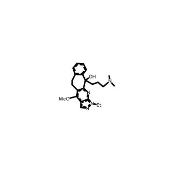 CCn1ncc2c(OC)c3c(nc21)C(O)(CCCN(C)C)c1ccccc1CC3